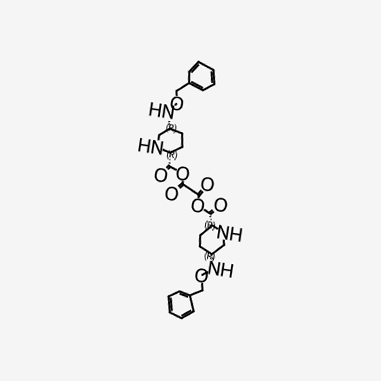 O=C(OC(=O)[C@H]1CC[C@@H](NOCc2ccccc2)CN1)C(=O)OC(=O)[C@H]1CC[C@@H](NOCc2ccccc2)CN1